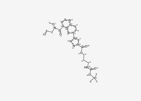 CON(CC=O)C(=O)c1ccnc2ccc(-n3cc(C(=O)OCCCNC(=O)OC(C)(C)C)nn3)cc12